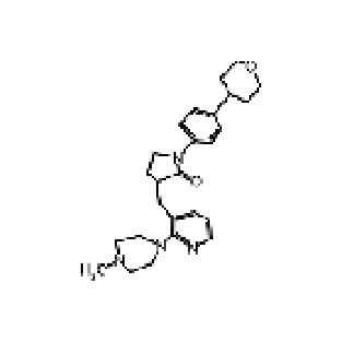 CN1CCN(c2ncccc2CC2CCN(c3ccc(C4CCOCC4)cc3)C2=O)CC1